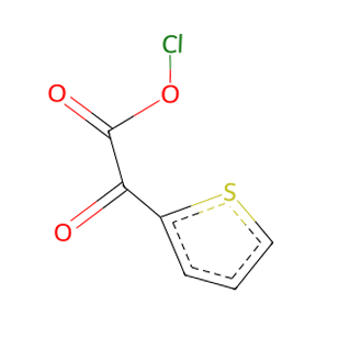 O=C(OCl)C(=O)c1cccs1